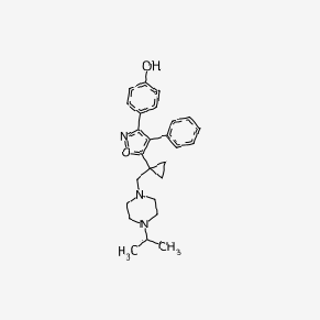 CC(C)N1CCN(CC2(c3onc(-c4ccc(O)cc4)c3-c3ccccc3)CC2)CC1